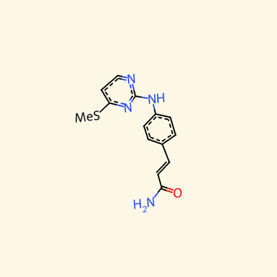 CSc1ccnc(Nc2ccc(C=CC(N)=O)cc2)n1